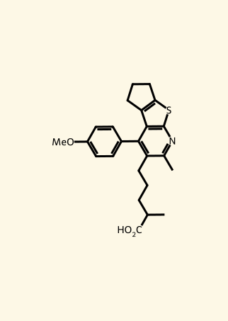 COc1ccc(-c2c(CCCC(C)C(=O)O)c(C)nc3sc4c(c23)CCC4)cc1